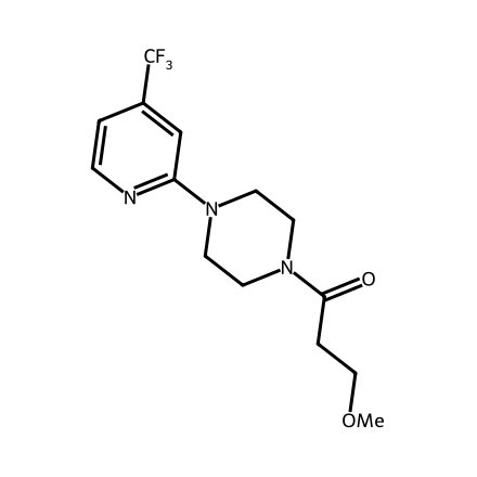 COCCC(=O)N1CCN(c2cc(C(F)(F)F)ccn2)CC1